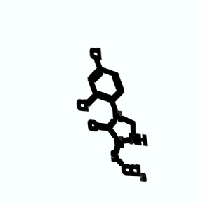 O=C1N(SC(Cl)(Cl)Cl)NCN1c1ccc(Cl)cc1Cl